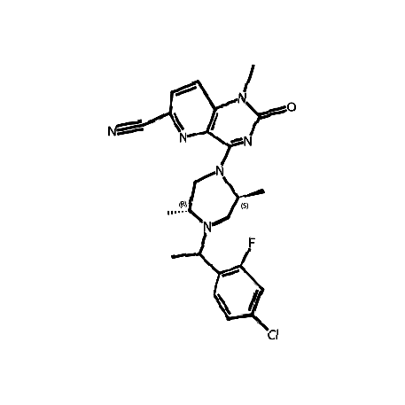 CC(c1ccc(Cl)cc1F)N1C[C@H](C)N(c2nc(=O)n(C)c3ccc(C#N)nc23)C[C@H]1C